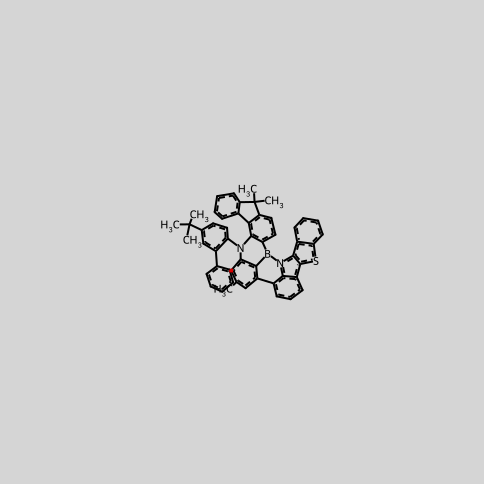 Cc1cc2c3c(c1)N(c1ccc(C(C)(C)C)cc1-c1ccccc1)c1c(ccc4c1-c1ccccc1C4(C)C)B3n1c3c-2cccc3c2sc3ccccc3c21